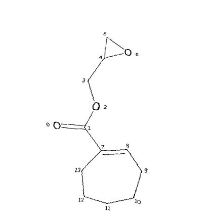 O=C(OCC1CO1)C1=CCCCCC1